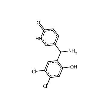 NC(c1ccc(=O)[nH]c1)c1cc(Cl)c(Cl)cc1O